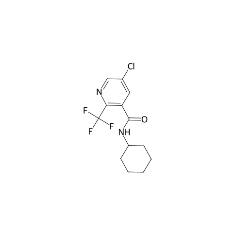 O=C(NC1CCCCC1)c1cc(Cl)cnc1C(F)(F)F